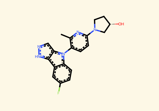 Cc1nc(N2CC[C@H](O)C2)ccc1-n1c2ccc(F)cc2c2[nH]ncc21